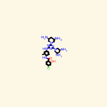 Cc1cc(Nc2nc(N3C[C@H](N)C[C@H](N)C3)nc(N3C[C@H](N)C[C@H](N)C3)n2)ccc1NC(=O)c1ccc(Cl)cc1O